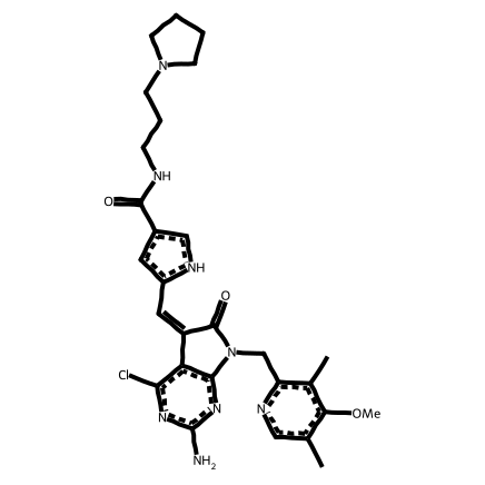 COc1c(C)cnc(CN2C(=O)/C(=C\c3cc(C(=O)NCCCN4CCCC4)c[nH]3)c3c(Cl)nc(N)nc32)c1C